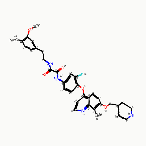 CCOc1cc(CCNC(=O)C(=O)Nc2ccc(Oc3ccnc4c(OC)c(OCC5CCNCC5)ccc34)c(F)c2)ccc1OC